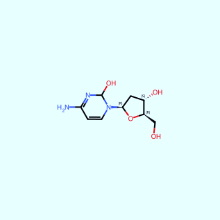 NC1=NC(O)N([C@H]2C[C@H](O)[C@@H](CO)O2)C=C1